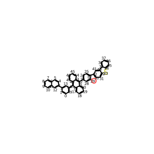 c1cc(-c2ccc3ccccc3c2)cc(-c2c3ccccc3c(-c3ccc4c(c3)oc3cc5sc6ccccc6c5cc34)c3ccccc23)c1